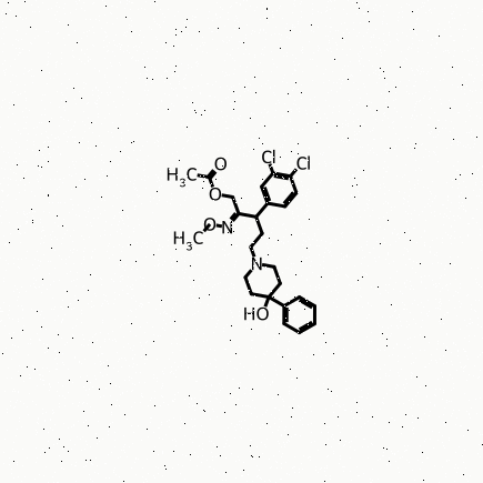 CON=C(COC(C)=O)C(CCN1CCC(O)(c2ccccc2)CC1)c1ccc(Cl)c(Cl)c1